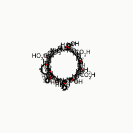 C[C@H]1C(=O)N[C@@H](CC(=O)O)C(=O)N2CCC[C@H]2C(=O)N[C@@H](CN)C(=O)N[C@@H](CCC(=O)O)C(=O)N2C[C@H](O)C[C@H]2C(=O)N[C@@H](Cc2c[nH]c3ccccc23)C(=O)N[C@@H](CO)C(=O)N[C@@H](Cc2c[nH]c3ccccc23)C(=O)N(C)[C@H]2CCCC/C=C\CCCC[C@@H](C(=O)N[C@@H](CCC(=O)O)C(=O)N[C@H](C(N)=O)CSCC(=O)N[C@@H](Cc3ccc(O)cc3)C(=O)N1C)N(C)C2=O